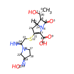 C[C@@H](O)[C@H]1C(=O)N2C(C(=O)O)=C(SCC(=N)N3CCC(=NO)C3)C[C@H]12